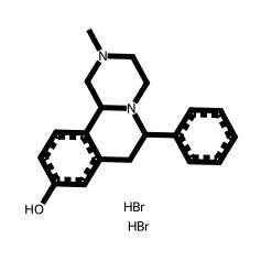 Br.Br.CN1CCN2C(c3ccccc3)Cc3cc(O)ccc3C2C1